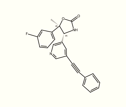 C[C@]1(c2cccc(F)c2)OC(=O)N[C@@H]1c1cncc(C#Cc2ccccc2)c1